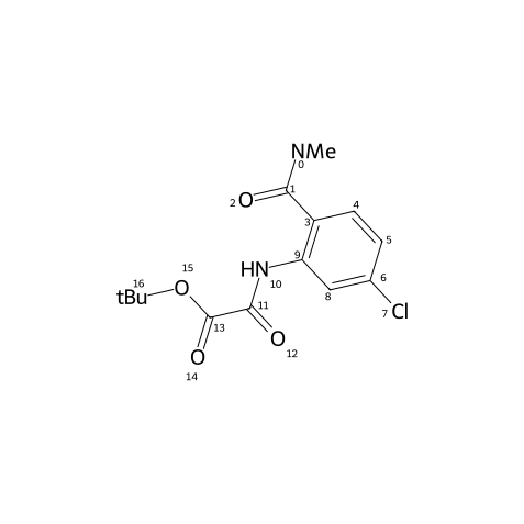 CNC(=O)c1ccc(Cl)cc1NC(=O)C(=O)OC(C)(C)C